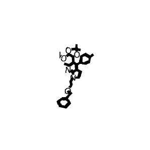 Cc1ccc(-c2c(C(OC(C)(C)C)C(=O)OI)c(C)nc3c2ccn3CCOCc2ccccc2)cc1